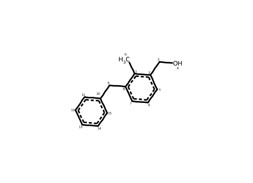 Cc1c(CO)cccc1Cc1ccccc1